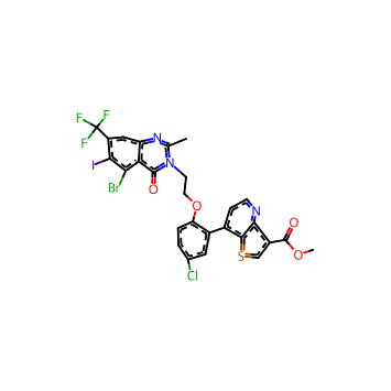 COC(=O)c1csc2c(-c3cc(Cl)ccc3OCCn3c(C)nc4cc(C(F)(F)F)c(I)c(Br)c4c3=O)ccnc12